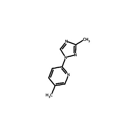 Cc1ccc(-n2cnc(C)n2)nc1